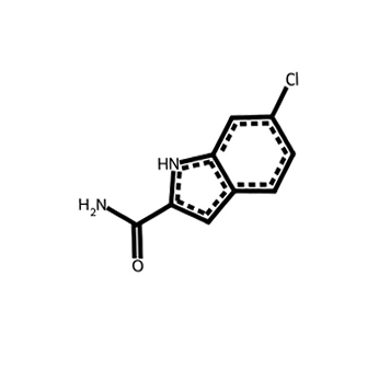 NC(=O)c1cc2ccc(Cl)cc2[nH]1